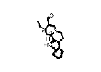 CC[C@@H]1C[C@H]2c3[nH]c4ccccc4c3CCN2C=C1C=O